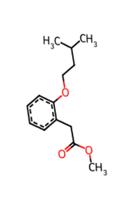 COC(=O)Cc1ccccc1OCCC(C)C